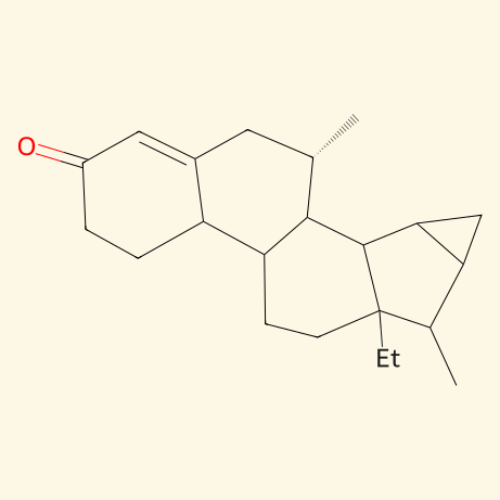 CCC12CCC3C4CCC(=O)C=C4C[C@H](C)C3C1C1CC1C2C